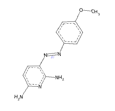 COc1ccc(/N=N/c2ccc(N)nc2N)cc1